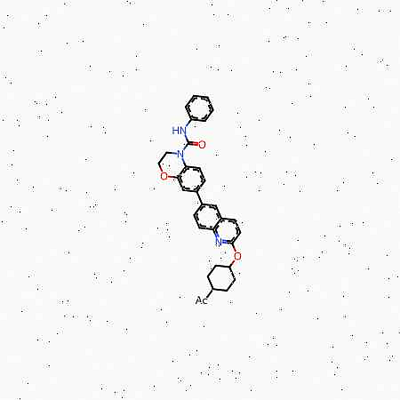 CC(=O)C1CCC(Oc2ccc3cc(-c4ccc5c(c4)OCCN5C(=O)Nc4ccccc4)ccc3n2)CC1